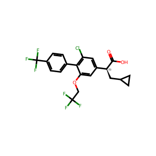 O=C(O)[C@@H](CC1CC1)c1cc(Cl)c(-c2ccc(C(F)(F)F)cc2)c(OCC(F)(F)F)c1